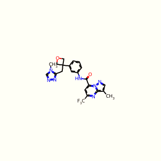 Cc1cnn2c(C(=O)Nc3cccc(C4(Cc5nncn5C)COC4)c3)cc(C(F)(F)F)nc12